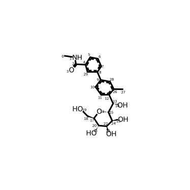 CNC(=O)c1cccc(-c2ccc([C@H](O)[C@H]3O[C@H](CO)[C@@H](O)[C@H](O)[C@@H]3O)c(C)c2)c1